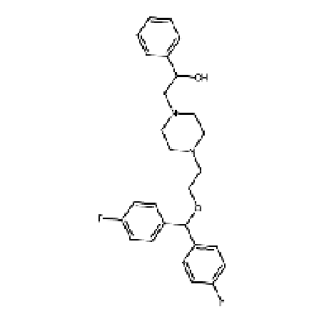 OC(CN1CCN(CCOC(c2ccc(F)cc2)c2ccc(F)cc2)CC1)c1ccccc1